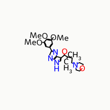 COc1cc(-c2cnc3[nH]cc(C(=O)C(C)(C)CCN4CCOCC4)c3n2)cc(OC)c1OC